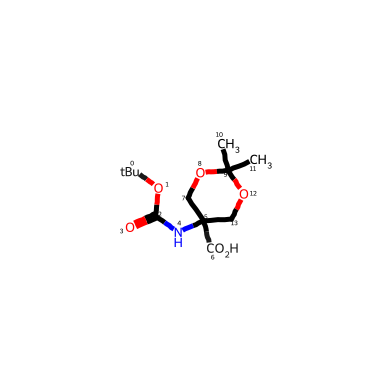 CC(C)(C)OC(=O)NC1(C(=O)O)COC(C)(C)OC1